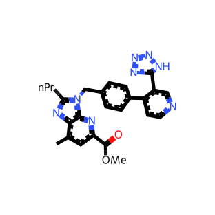 CCCc1nc2c(C)cc(C(=O)OC)nc2n1Cc1ccc(-c2ccncc2-c2nnn[nH]2)cc1